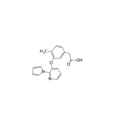 Cc1ccc(CC(=O)O)cc1Oc1cccnc1-n1cccc1